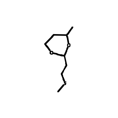 CSCCC1OCCC(C)O1